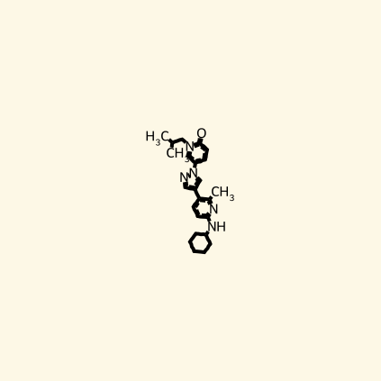 Cc1nc(NC2CCCCC2)ccc1-c1cnn(-c2ccc(=O)n(CC(C)C)c2)c1